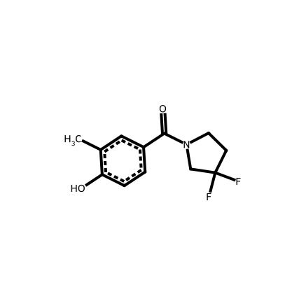 Cc1cc(C(=O)N2CCC(F)(F)C2)ccc1O